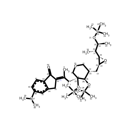 C/C(C[C@]1(O[Si](C)(C)C)COC[C@H](C[C@@H]2O[C@H]2[C@H](C)[C@H](C)O[Si](C)(C)C)[C@H]1O[Si](C)(C)C)=C1/Cc2cc(N(C)C)ccc2C1=O